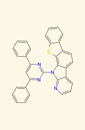 c1ccc(-c2cc(-c3ccccc3)nc(-n3c4ncccc4c4ccc5c6ccccc6sc5c43)n2)cc1